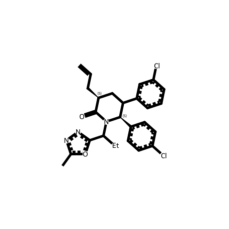 C=CC[C@H]1CC(c2cccc(Cl)c2)[C@@H](c2ccc(Cl)cc2)N(C(CC)c2nnc(C)o2)C1=O